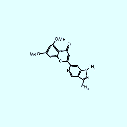 COc1cc(OC)c2c(=O)cc(-c3cc4c(cn3)c(C)nn4C)oc2c1